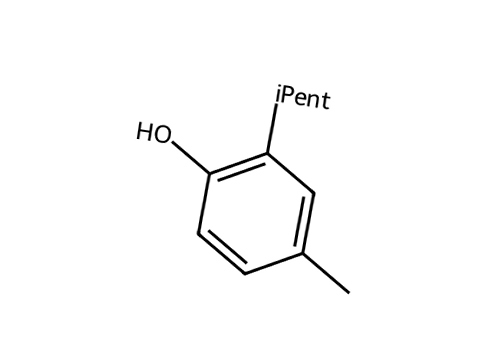 CCCC(C)c1cc(C)ccc1O